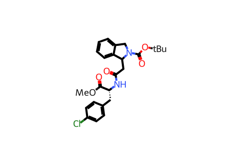 COC(=O)[C@@H](Cc1ccc(Cl)cc1)NC(=O)CC1c2ccccc2CN1C(=O)OC(C)(C)C